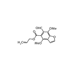 C=CCOC(=O)c1c(C=O)c(OC)c2occc2c1OC